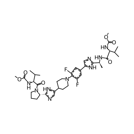 COC(=O)N[C@H](C(=O)N[C@@H](C)c1ncc(-c2cc(F)c(N3CCC(c4cnc([C@@H]5CCCN5C(=O)[C@@H](NC(=O)OC)C(C)C)[nH]4)CC3)c(F)c2)[nH]1)C(C)C